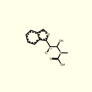 CN(C(=O)O)C(O)[C@@H](Cl)c1occ2ccccc12